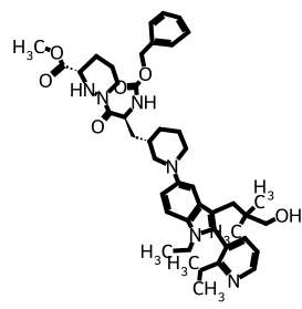 CCn1c(-c2cccnc2C(C)C)c(CC(C)(C)CO)c2cc(N3CCC[C@@H](C[C@H](NC(=O)OCc4ccccc4)C(=O)N4CCC[C@@H](C(=O)OC)N4)C3)ccc21